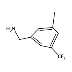 NCc1cc(I)cc(C(F)(F)F)c1